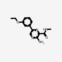 CCOc1cccc(-c2cnc(N)c(C(=O)NC)n2)c1